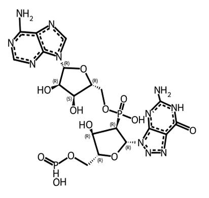 Nc1nc2c(nnn2[C@@H]2O[C@H](CO[PH](=O)O)[C@@H](O)[C@H]2P(=O)(O)OC[C@H]2O[C@@H](n3cnc4c(N)ncnc43)[C@H](O)[C@@H]2O)c(=O)[nH]1